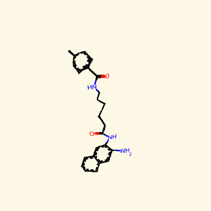 Cc1ccc(C(=O)NCCCCCC(=O)Nc2cc3ccccc3cc2N)cc1